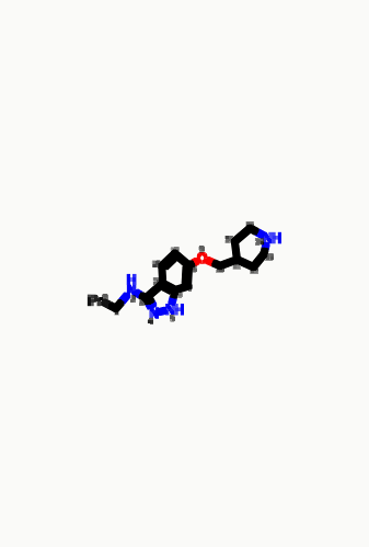 CC(C)CNc1n[nH]c2cc(OCC3CCNCC3)ccc12